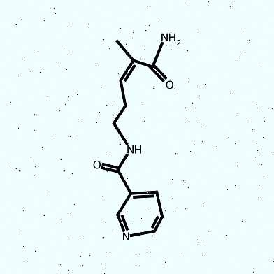 CC(=CCCNC(=O)c1cccnc1)C(N)=O